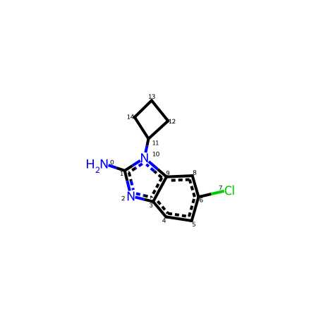 Nc1nc2ccc(Cl)cc2n1C1CCC1